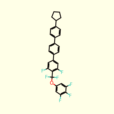 Fc1cc(OC(F)(F)c2c(F)cc(-c3ccc(-c4ccc(C5CCCC5)cc4)cc3)cc2F)cc(F)c1F